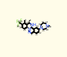 Cc1c([C@@H](C)Nc2nncc3ccc(N4CCCN(C)CC4)cc23)cccc1C(F)(F)F